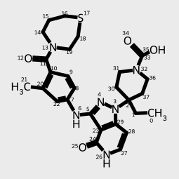 CCC1(n2nc(Nc3ccc(C(=O)N4CCCSCC4)c(C)c3)c3c(=O)[nH]ccc32)CCN(C(=O)O)CC1